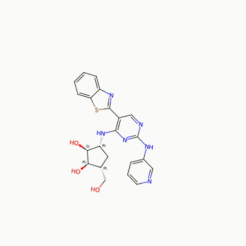 OC[C@H]1C[C@@H](Nc2nc(Nc3cccnc3)ncc2-c2nc3ccccc3s2)[C@H](O)[C@@H]1O